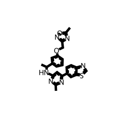 Cc1nc(NC(C)c2cccc(OCc3noc(C)n3)c2)cc(-c2ccc3ncsc3c2)n1